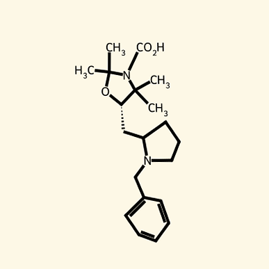 CC1(C)O[C@@H](CC2CCCN2Cc2ccccc2)C(C)(C)N1C(=O)O